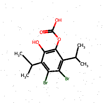 CC(C)c1c(O)c(OC(=O)O)c(C(C)C)c(Br)c1Br